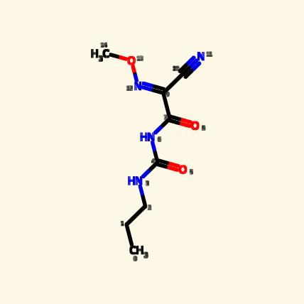 CCCNC(=O)NC(=O)C(C#N)=NOC